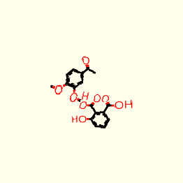 COc1ccc(C(C)=O)cc1OC.O=C(O)c1cccc(O)c1C(=O)O